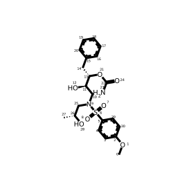 COc1ccc(S(=O)(=O)N(C[C@@H](O)[C@H](Cc2ccccc2)OC(N)=O)C[C@@H](C)O)cc1